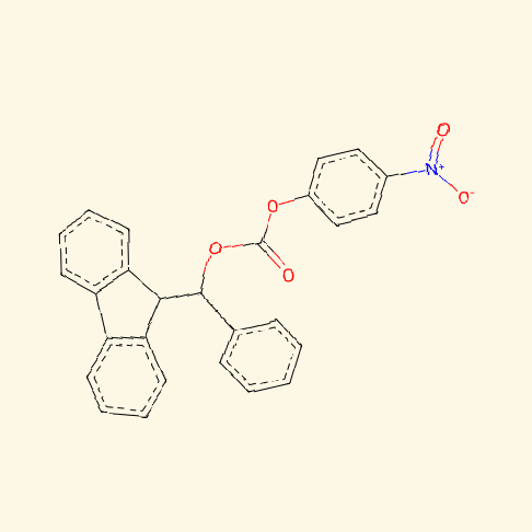 O=C(Oc1ccc([N+](=O)[O-])cc1)OC(c1ccccc1)C1c2ccccc2-c2ccccc21